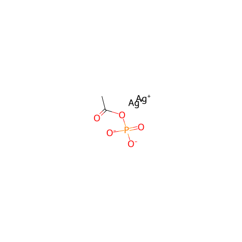 CC(=O)OP(=O)([O-])[O-].[Ag+].[Ag+]